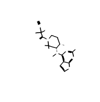 [2H]c1nc(N(C)[C@@H]2[C@H](C)CCN(C(=O)C([2H])([2H])[N+]#[C-])C2([2H])[2H])c2cc[nH]c2n1